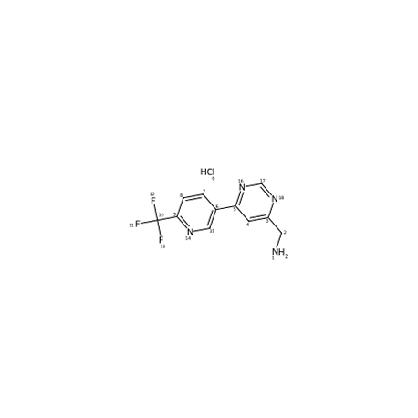 Cl.NCc1cc(-c2ccc(C(F)(F)F)nc2)ncn1